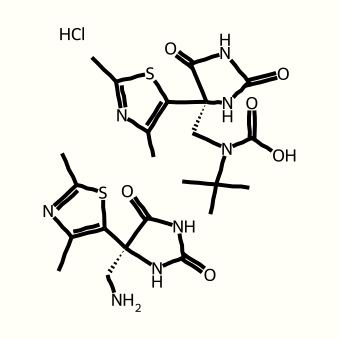 Cc1nc(C)c([C@]2(CN(C(=O)O)C(C)(C)C)NC(=O)NC2=O)s1.Cc1nc(C)c([C@]2(CN)NC(=O)NC2=O)s1.Cl